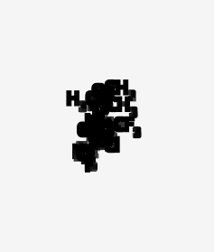 C=CC(=O)N1[C@H](C)CN(c2nc(=O)n3c4c(cc(C(F)(F)F)cc24)[SH](Cl)C[C@@H](c2cncc(F)c2)C3)C[C@@H]1C